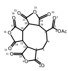 CC(=O)OC(=O)C1CCC2C(=O)OC(=O)C2C2C(=O)OC(=O)C2C2C(=O)OC(=O)C12